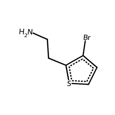 NCCc1sccc1Br